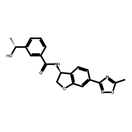 Cc1nc(-c2ccc3c(c2)OC[C@H]3NC(=O)c2cccc([C@@H](C)O)c2)no1